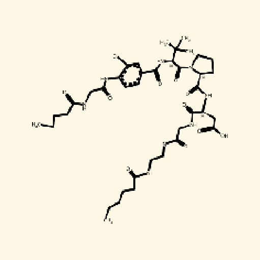 CCCCCC(=O)NCCNC(=O)CNC(=O)[C@H](CC(=O)O)NC(=O)[C@@H]1CCCN1C(=O)[C@@H](NC(=O)c1ccc(NC(=O)CNC(=O)CCCC)c(Cl)c1)C(C)(C)C